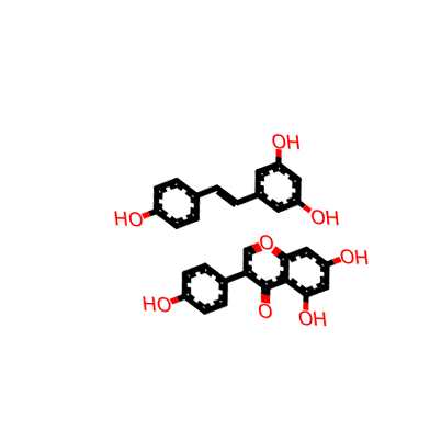 O=c1c(-c2ccc(O)cc2)coc2cc(O)cc(O)c12.Oc1ccc(/C=C/c2cc(O)cc(O)c2)cc1